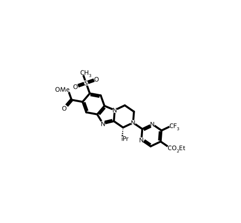 CCOC(=O)c1cnc(N2CCn3c(nc4cc(C(=O)OC)c(S(C)(=O)=O)cc43)[C@H]2C(C)C)nc1C(F)(F)F